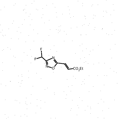 CCOC(=O)/C=C/c1nc(C(F)F)no1